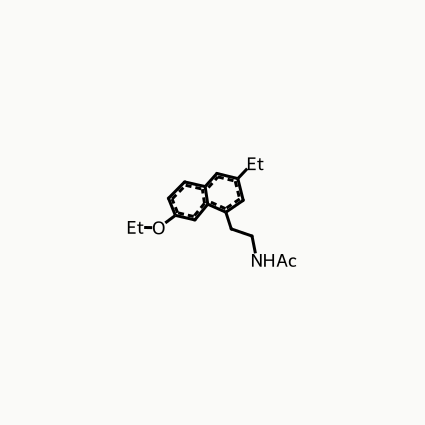 CCOc1ccc2cc(CC)cc(CCNC(C)=O)c2c1